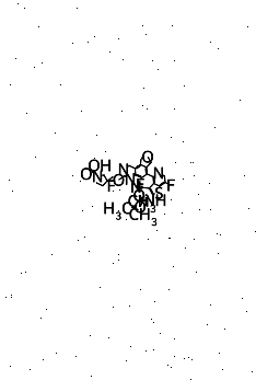 CC(C)(C)OC(=O)Nc1sc2c(F)cnc(-c3c4c(c5cnc(OCC6(F)CCN(C(=O)O)C6)nc5c3F)COC4)c2c1C#N